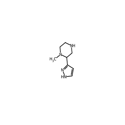 CN1CCNCC1c1cc[nH]n1